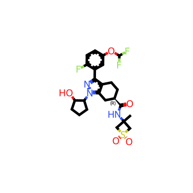 CC1(NC(=O)[C@@H]2CCc3c(-c4cc(OC(F)F)ccc4F)nn(C4CCCC4O)c3C2)CS(=O)(=O)C1